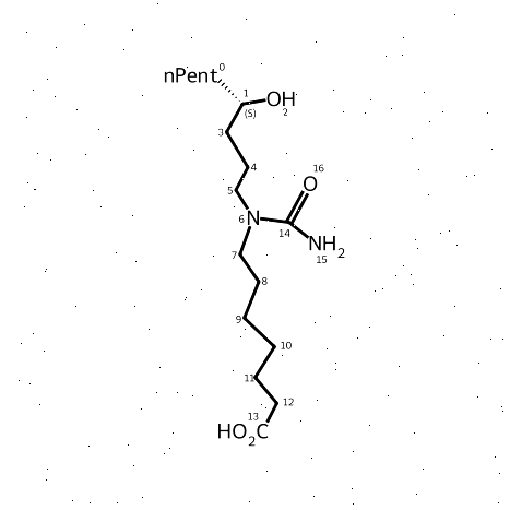 CCCCC[C@H](O)CCCN(CCCCCCC(=O)O)C(N)=O